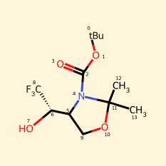 CC(C)(C)OC(=O)N1C([C@H](O)C(F)(F)F)COC1(C)C